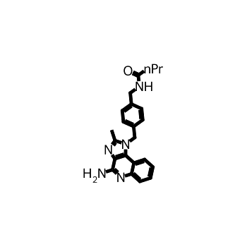 CCCC(=O)NCc1ccc(Cn2c(C)nc3c(N)nc4ccccc4c32)cc1